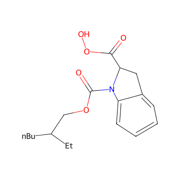 CCCCC(CC)COC(=O)N1c2ccccc2CC1C(=O)OO